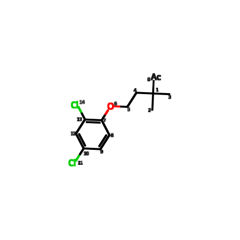 CC(=O)C(C)(C)CCOc1ccc(Cl)cc1Cl